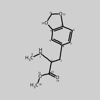 CNC(Cc1ccc2c(c1)OCO2)C(=O)OC